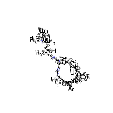 CCC1C[C@H](C)[C@@](O)(/C(C)=C\C(C)CCC(O)C(C)CC/C=C/C=C(\C)[C@@H]2C/C=C/C=C/[C@H](O)C(C)C(O)C(CCC(C)=O)C(=O)NC(C(C)C)C(=O)NC(Cc3cccc(F)c3)C(=O)N3CCCC(N3)C(=O)O2)NC1=O